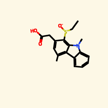 CC[S+]([O-])c1c(CC(=O)O)cc(C)c2c3ccccc3n(C)c12